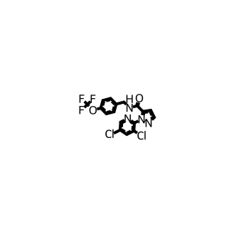 O=C(NCc1ccc(OC(F)(F)F)cc1)c1ccnn1-c1ncc(Cl)cc1Cl